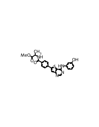 COC(=O)C(C)NC(=O)c1ccc(-c2cc3ncnc(Nc4cccc(O)c4)c3s2)cc1